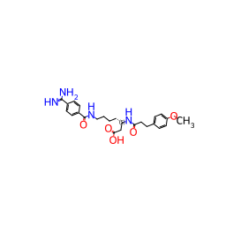 COc1ccc(CCC(=O)N[C@@H](CCCCNC(=O)c2ccc(C(=N)N)cc2)CC(=O)O)cc1